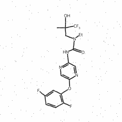 CCN(CC(C)(O)C(F)(F)F)C(=O)Nc1cnc(Oc2cc(F)ccc2F)cn1